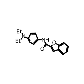 CCN(CC)c1ccc(NC(=O)c2cc3ccccc3o2)cc1